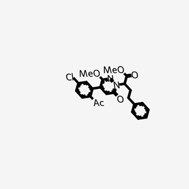 COC(=O)C(CCc1ccccc1)n1nc(OC)c(-c2cc(Cl)ccc2C(C)=O)cc1=O